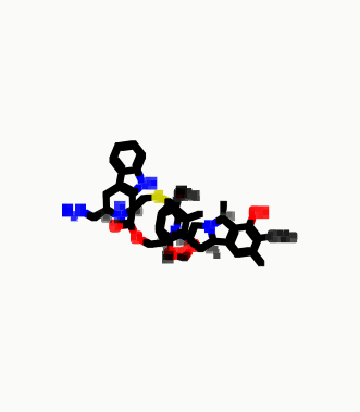 COc1c(C)cc2c(c1O)[C@H](C)N1C[C@](O)(N3C[C@@H]4SC[C@]5(N[C@@H](CN)Cc6c5[nH]c5ccccc65)C(=O)OC[C@H]3c3c5c(c(C)c(OC(C)=O)c34)OCO5)C[C@]21C